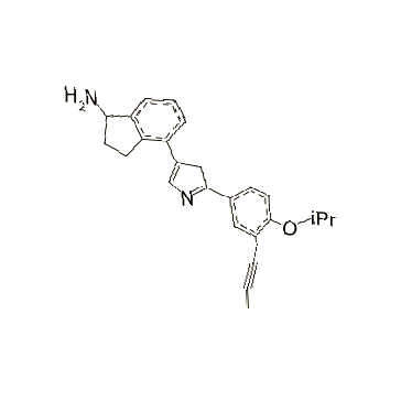 CC#Cc1cc(C2=NC=C(c3cccc4c3CCC4N)C2)ccc1OC(C)C